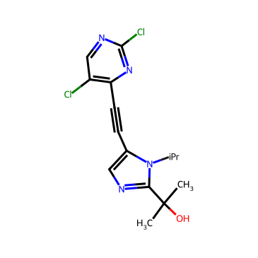 CC(C)n1c(C#Cc2nc(Cl)ncc2Cl)cnc1C(C)(C)O